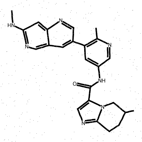 CNc1cc2ncc(-c3cc(NC(=O)c4cnc5n4CC(C)CC5)cnc3C)cc2cn1